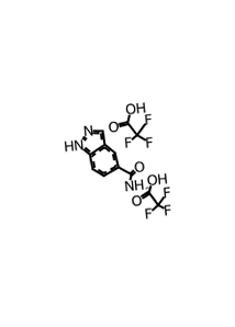 NC(=O)c1ccc2[nH]ncc2c1.O=C(O)C(F)(F)F.O=C(O)C(F)(F)F